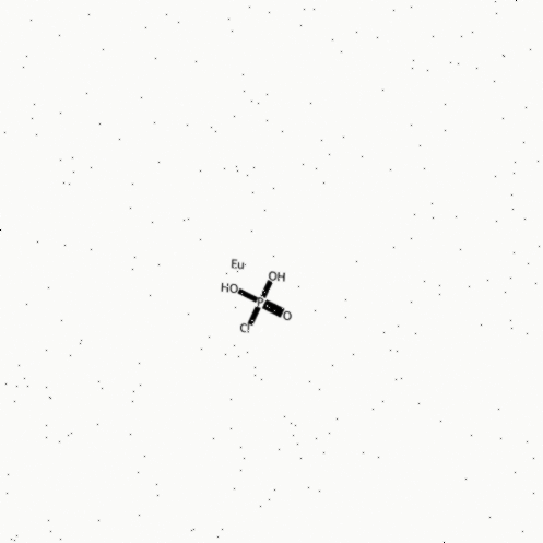 O=P(O)(O)Cl.[Eu]